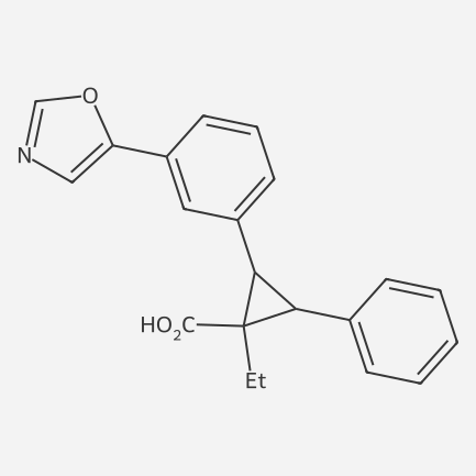 CCC1(C(=O)O)C(c2ccccc2)C1c1cccc(-c2cnco2)c1